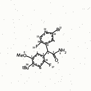 COc1cc(C(C(N)=O)c2cc(Br)ncc2F)c(F)cc1C(C)(C)C